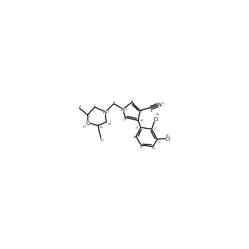 CC1CN(Cn2cc(C#N)c(-c3cccc(Cl)c3Cl)c2)CC(C)O1